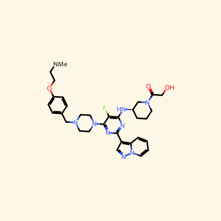 CNCCOc1ccc(CN2CCN(c3nc(-c4cnn5ccccc45)nc(N[C@@H]4CCCN(C(=O)CO)C4)c3F)CC2)cc1